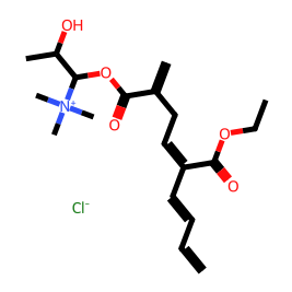 C=CC=CC(=CCC(=C)C(=O)OC(C(C)O)[N+](C)(C)C)C(=O)OCC.[Cl-]